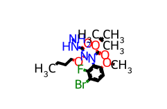 CCCCON(C(=O)NN)N(C(=O)OC(C)(C)C)c1c(OC)ccc(Br)c1F